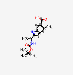 Cc1cc2cc(C(C)NC(=O)OC(C)(C)C)[nH]c2cc1C(=O)O